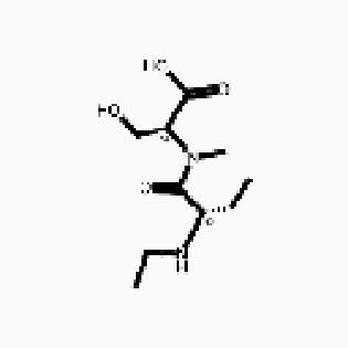 CCN[C@@H](CC)C(=O)N(C)[C@@H](CO)C(=O)O